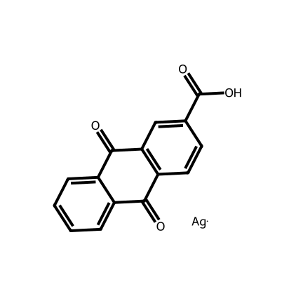 O=C(O)c1ccc2c(c1)C(=O)c1ccccc1C2=O.[Ag]